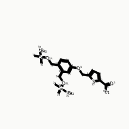 CCC(=O)c1ccc(COc2ccc(CO[Si](C)(C)C(C)(C)C)c(CO[Si](C)(C)C(C)(C)C)c2)s1